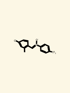 Cc1cc(Cl)ccc1C=[N+]([O-])c1ccc(C(F)(F)F)cc1